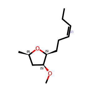 CC/C=C\CC[C@@H]1O[C@H](C)C[C@@H]1OC